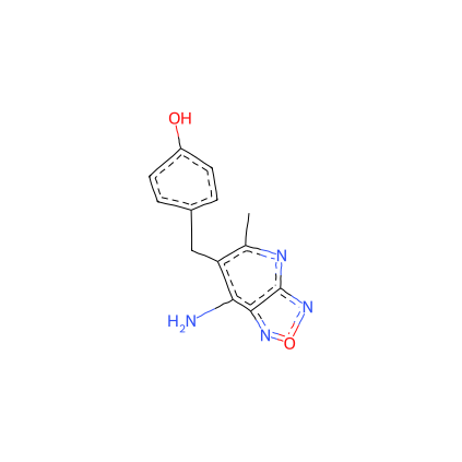 Cc1nc2nonc2c(N)c1Cc1ccc(O)cc1